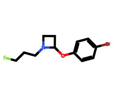 FCCCN1CCC1Oc1ccc(Br)cc1